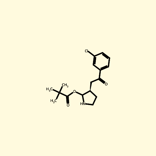 CC(C)(C)C(=O)OC1NCC[C@@H]1CC(=O)c1cccc(Cl)c1